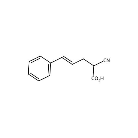 N#CC(CC=Cc1ccccc1)C(=O)O